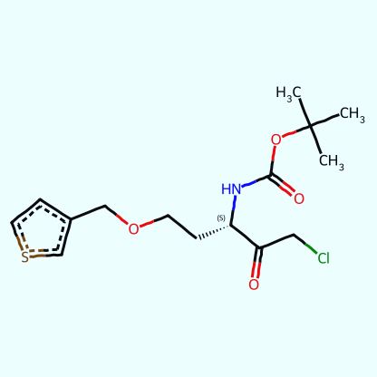 CC(C)(C)OC(=O)N[C@@H](CCOCc1ccsc1)C(=O)CCl